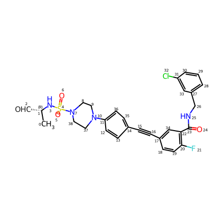 C[C@H](C=O)NS(=O)(=O)N1CCN(c2ccc(C#Cc3ccc(F)c(C(=O)NCc4cccc(Cl)c4)c3)cc2)CC1